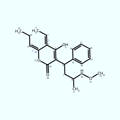 C/C=c1/c(O)c(C(CC(C)NOC)c2ccccc2)c(=O)o/c1=C/CC